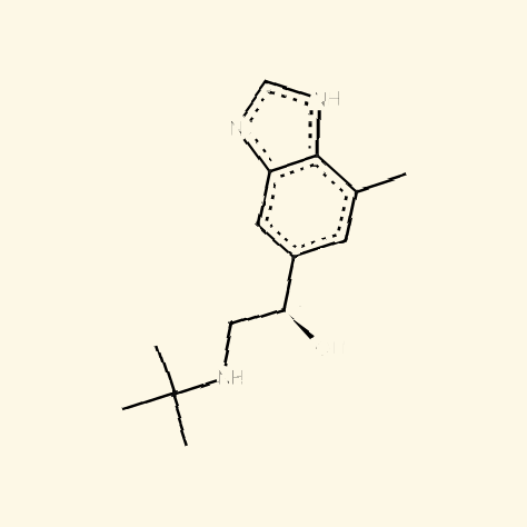 Cc1cc([C@@H](O)CNC(C)(C)C)cc2nc[nH]c12